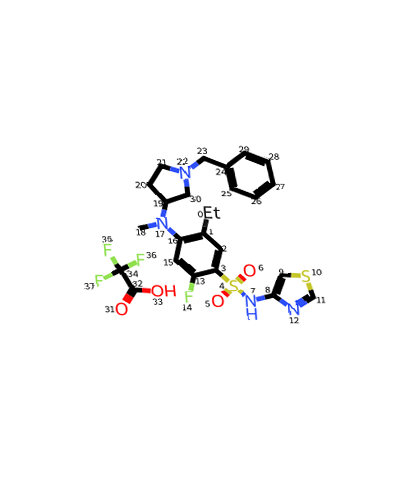 CCc1cc(S(=O)(=O)Nc2cscn2)c(F)cc1N(C)C1CCN(Cc2ccccc2)C1.O=C(O)C(F)(F)F